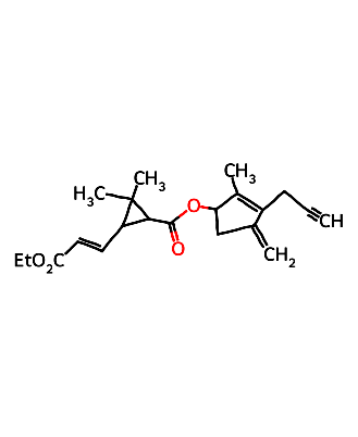 C#CCC1=C(C)C(OC(=O)C2C(C=CC(=O)OCC)C2(C)C)CC1=C